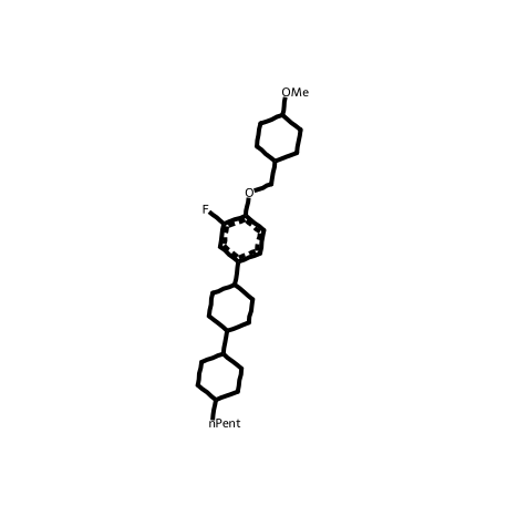 CCCCCC1CCC(C2CCC(c3ccc(OCC4CCC(OC)CC4)c(F)c3)CC2)CC1